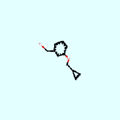 [O]Cc1cccc(OCC2CC2)c1